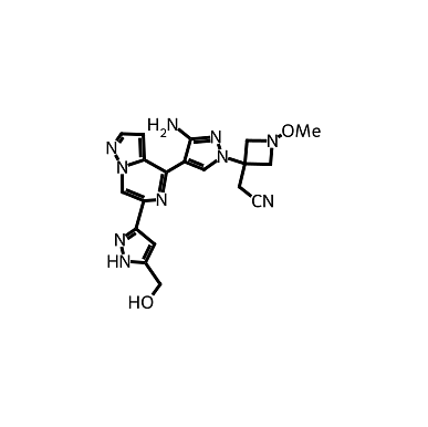 CON1CC(CC#N)(n2cc(-c3nc(-c4cc(CO)[nH]n4)cn4nccc34)c(N)n2)C1